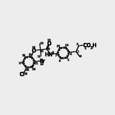 CC(CC(=O)O)c1ccc(NC(=O)C(C)(C)Oc2ccc(Cl)cc2Br)cc1